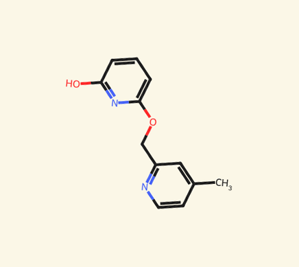 Cc1ccnc(COc2cccc(O)n2)c1